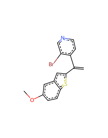 C=C(c1cc2cc(OC)ccc2s1)c1ccncc1Br